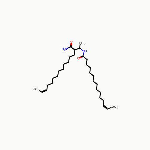 CCCCCCCC/C=C\CCCCCCCCCCCC(=O)NC(C)C(CCCCCCCCCC/C=C\CCCCCCCC)C(N)=O